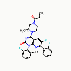 C=CC(=O)N1CCN(c2nc(=O)n(-c3c(F)cccc3C(C)C)c3nc(-c4ccccc4F)c(F)cc23)[C@@H](C)C1